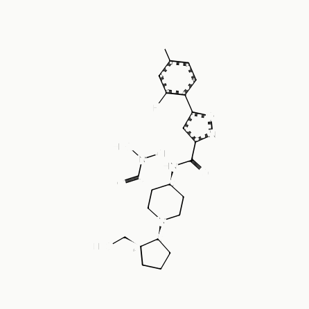 CC[C@@H]1CCC[C@@H]1N1CC[C@H](NC(=O)c2cc(-c3ccc(F)cc3F)on2)[C@@H](C(=O)N(C)C)C1